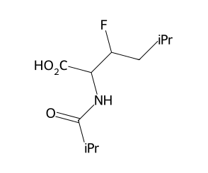 CC(C)CC(F)C(NC(=O)C(C)C)C(=O)O